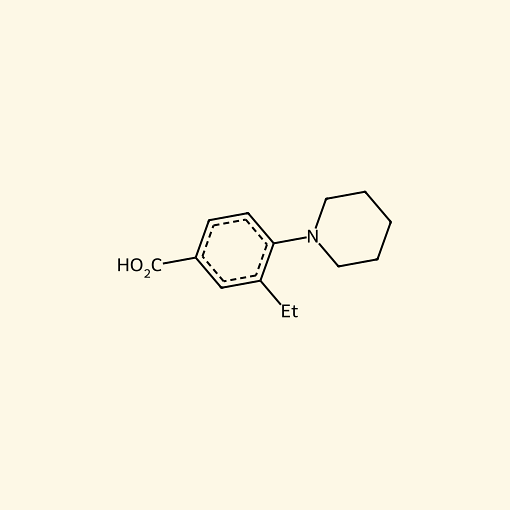 CCc1cc(C(=O)O)ccc1N1CCCCC1